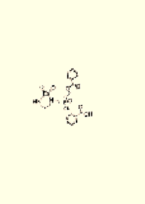 O=C(OCOP(=O)(CCN1CCCNc2c1c(=O)c2=O)OCc1ccccc1C(=O)O)c1ccccc1